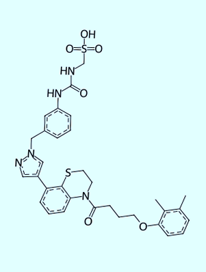 Cc1cccc(OCCCC(=O)N2CCSc3c(-c4cnn(Cc5cccc(NC(=O)NCS(=O)(=O)O)c5)c4)cccc32)c1C